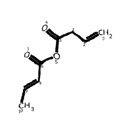 C=CCC(=O)OC(=O)C=CC